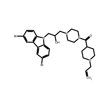 C=CCN1CCC(C(=O)N2CCN(CC(O)Cn3c4ccc(Br)cc4c4cc(Br)ccc43)CC2)CC1